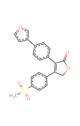 CS(=O)(=O)c1ccc(C2=C(c3ccc(-c4ccoc4)cc3)C(=O)OC2)cc1